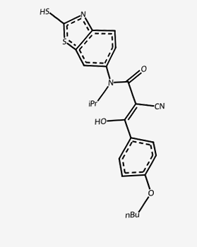 CCCCOc1ccc(C(O)=C(C#N)C(=O)N(c2ccc3nc(S)sc3c2)C(C)C)cc1